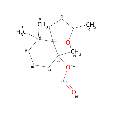 CC1CCC2(O1)C(C)(C)CCCC2(C)OC=O